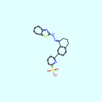 O=S(=O)(O)c1cccc(-c2ccc3c(c2)/C(=N/Nc2nc4ccccc4s2)CCC3)n1